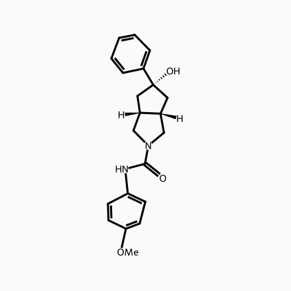 COc1ccc(NC(=O)N2C[C@@H]3C[C@@](O)(c4ccccc4)C[C@@H]3C2)cc1